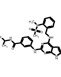 CC(C)NC(=O)c1cccc(Nc2nc(NCc3ccccc3N(C)S(C)(=O)=O)c3cc[nH]c3n2)c1